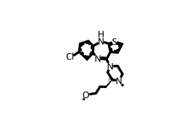 COCCC[C@H]1CN(C2=Nc3cc(Cl)ccc3Nc3sccc32)CCN1C